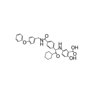 O=C(NCc1ccc(Oc2ccccc2)cc1)c1ccc(C(Nc2ccc(O)c(C(=O)O)c2)C(=O)C2CCCCC2)cc1